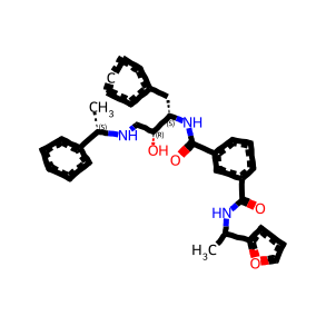 CC(NC(=O)c1cccc(C(=O)N[C@@H](Cc2ccccc2)[C@H](O)CN[C@@H](C)c2ccccc2)c1)c1ccco1